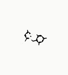 CCOC(=O)c1cc(O)n(Cc2c(F)cc(F)cc2F)n1